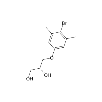 Cc1cc(OC[C@H](O)CO)cc(C)c1Br